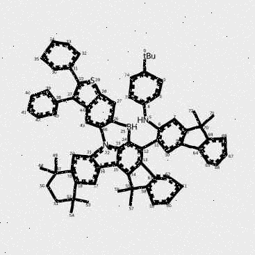 CC(C)(C)c1ccc(Nc2cc3c(cc2-c2c4c(c5c6cc7c(cc6n6c5c2Bc2cc5sc(-c8ccccc8)c(-c8ccccc8)c5cc2-6)C(C)(C)CCC7(C)C)C(C)(C)c2ccccc2-4)-c2ccccc2C3(C)C)cc1